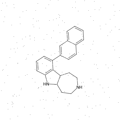 c1cc2c(c(-c3ccc4ccccc4c3)c1)C1CCNCCC1N2